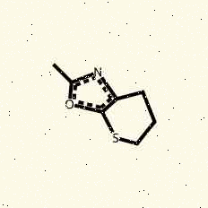 Cc1nc2c(o1)SCCC2